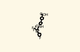 O=C(O)c1ccc(-c2ccc(NC(=O)c3cn(-c4ccc(F)cc4)nc3C(F)(F)F)cc2)cc1